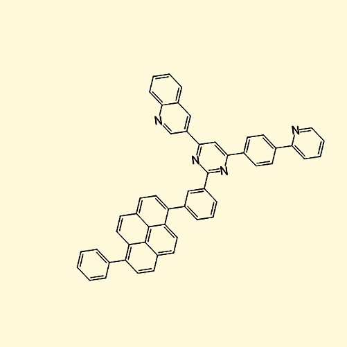 c1ccc(-c2ccc3ccc4c(-c5cccc(-c6nc(-c7ccc(-c8ccccn8)cc7)cc(-c7cnc8ccccc8c7)n6)c5)ccc5ccc2c3c54)cc1